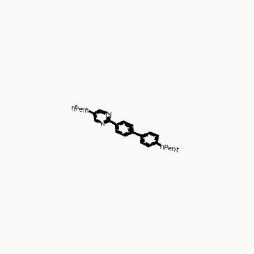 CCCCCc1ccc(-c2ccc(-c3ncc(CCCCC)cn3)cc2)cc1